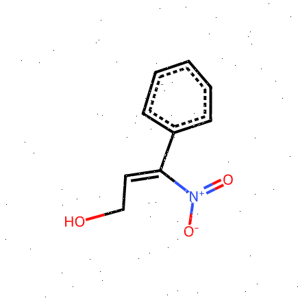 O=[N+]([O-])C(=CCO)c1ccccc1